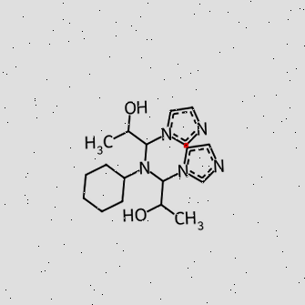 CC(O)C(N(C1CCCCC1)C(C(C)O)n1ccnc1)n1ccnc1